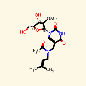 COC1[C@@H](O)[C@@H](CO)O[C@H]1n1cc(CN(CC=C(C)C)C(=O)C(F)(F)F)c(=O)[nH]c1=O